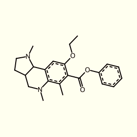 CCOc1cc2c(c(C)c1C(=O)Oc1ccccc1)N(C)CC1CCN(C)C21